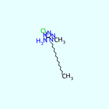 CCCCCCCCCCCCCCCCn1c(C)nc2nc(Cl)nc(N)c21